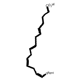 CCCCC/C=C\C/C=C\C/C=C/C/C=C/CCCC(=O)O